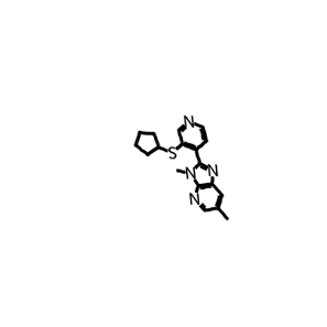 Cc1cnc2c(c1)nc(-c1ccncc1SC1CCCC1)n2C